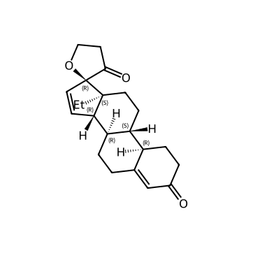 CC[C@]12CC[C@H]3[C@@H](CCC4=CC(=O)CC[C@@H]43)[C@@H]1C=C[C@@]21OCCC1=O